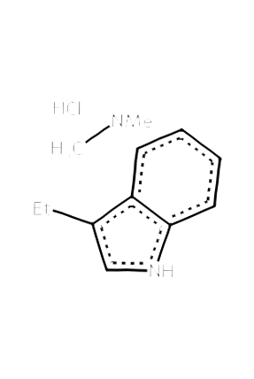 CCc1c[nH]c2ccccc12.CNC.Cl